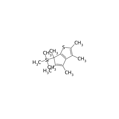 CC1=C(C)C(C)([Si](C)(C)C)c2sc(C)c(C)c21